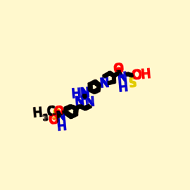 CS(=O)(=O)Nc1ccc(-c2ccnc(Nc3ccc(N4CCC(C(=O)NCC(O)=S)CC4)cc3)n2)cc1